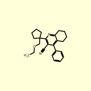 CCOCC1(c2nc3c(c(-c4ccccc4)c2C#N)CCCC3)CCCC1